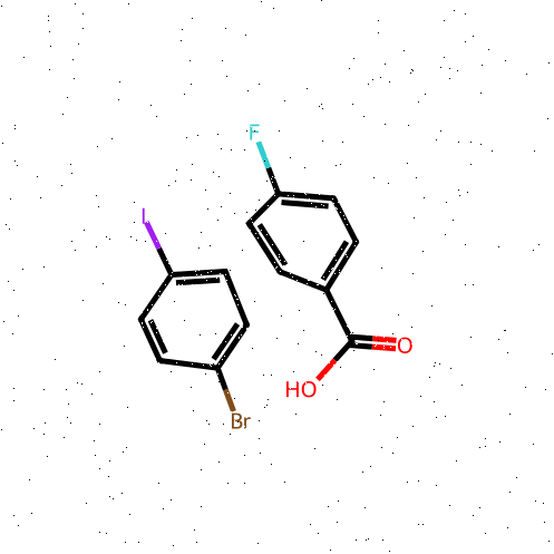 Brc1ccc(I)cc1.O=C(O)c1ccc(F)cc1